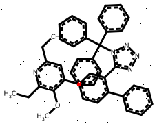 CCc1cc(-c2ccc(-c3ccccc3)c(-c3nnnn3C(c3ccccc3)(c3ccccc3)c3ccccc3)c2)c(OC)c(CC)n1